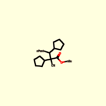 CCCCCC(C1CCCC1)C(C#N)(C(=O)OCCCC)C1CCCC1